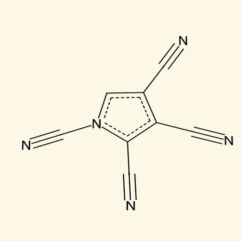 N#Cc1cn(C#N)c(C#N)c1C#N